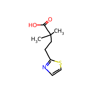 CC(C)(CCc1nccs1)C(=O)O